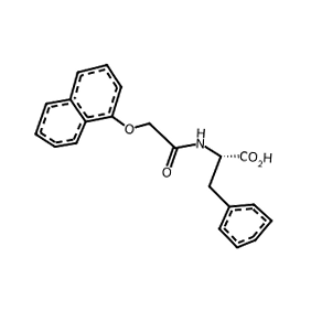 O=C(COc1cccc2ccccc12)N[C@@H](Cc1ccccc1)C(=O)O